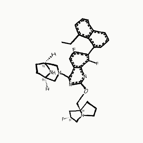 CCc1cccc2cccc(-c3c(F)cc4c(N5C[C@H]6CC[C@@H](C5)N6)nc(OC[C@@]56CCCN5C[C@H](F)C6)nc4c3F)c12